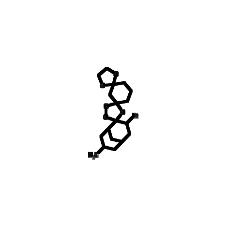 CCC1CC2CC(C)CC(C2)C12OOC1(CCCC3(C1)OCCO3)O2